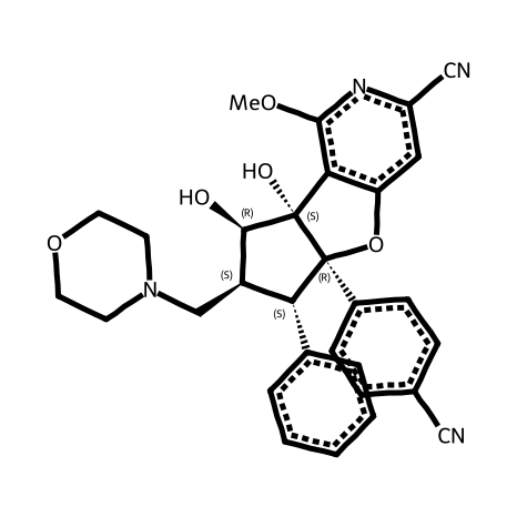 COc1nc(C#N)cc2c1[C@]1(O)[C@H](O)[C@H](CN3CCOCC3)[C@@H](c3ccccc3)[C@]1(c1ccc(C#N)cc1)O2